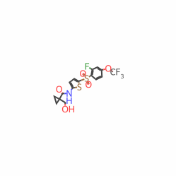 O=C(Nc1ccc(S(=O)(=O)c2ccc(OC(F)(F)F)cc2F)s1)C1(CO)CC1